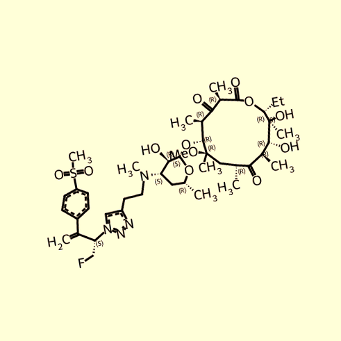 C=C(c1ccc(S(C)(=O)=O)cc1)[C@@H](CF)n1cc(CCN(C)[C@H]2C[C@@H](C)O[C@@H](O[C@@H]3[C@@H](C)C(=O)[C@@H](C)C(=O)O[C@H](CC)[C@@](C)(O)[C@H](O)[C@@H](C)C(=O)[C@H](C)C[C@@]3(C)OC)[C@@H]2O)nn1